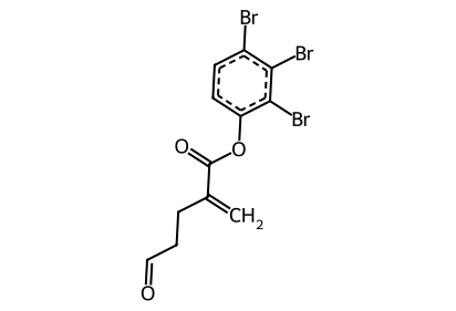 C=C(CCC=O)C(=O)Oc1ccc(Br)c(Br)c1Br